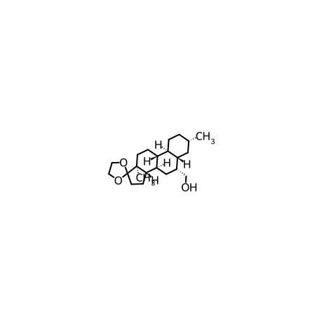 C[C@H]1CC[C@@H]2[C@H]3CC[C@@]4(C)[C@@H](CCC45OCCO5)[C@@H]3C[C@@H](CO)[C@H]2C1